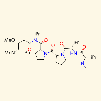 CC[C@H](C)[C@H](NC)[C@@H](CC(=O)N(C(=O)C1CCCN1C(=O)C1CCCN1C(=O)[C@@H](NC(=O)[C@H](C(C)C)N(C)C)C(C)C)C(C)C)OC